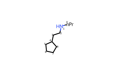 [CH2]CCNCCC1CCCC1